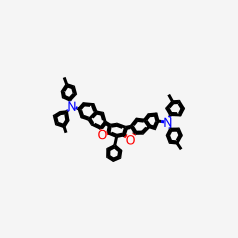 Cc1ccc(N(c2cccc(C)c2)c2ccc3cc4c(cc3c2)oc2c(-c3ccccc3)c3oc5cc6cc(N(c7ccc(C)cc7)c7cccc(C)c7)ccc6cc5c3cc24)cc1